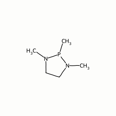 CN1CCN(C)P1C